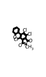 CN1C(=O)c2c(Cl)c(Cl)c(C3=CC=CCC3=O)c(Cl)c2C1=O